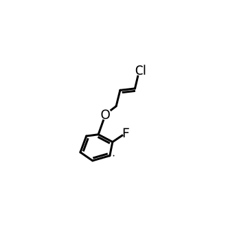 Fc1[c]cccc1OCC=CCl